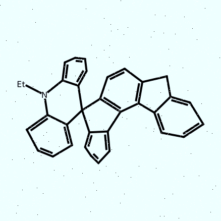 CCN1c2ccccc2C2(c3ccccc3-c3c2ccc2c3-c3ccccc3C2)c2ccccc21